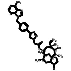 C=C[C@]1(C)C[C@@H](OC(=O)Cn2cc(-c3ccc(Cn4cnc5c(N)ncnc54)cc3)nn2)[C@@]2(C)C[C@@]3(CCC(=O)C3C[C@H]2C)[C@@H](C)[C@@H]1O